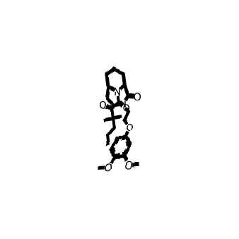 CCCC(C)(C)C(=O)C(=O)N1C2CCCC1C(=O)N(CCOc1ccc(OC)c(OC)c1)CC2